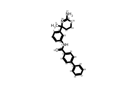 CC1(c2cccc(NC(=O)c3ccc(-c4ccccc4)cc3)c2)CCSC(N)=N1